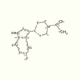 CC(=O)N1CCC(c2c[nH]c3ccc(F)cc23)CC1